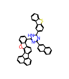 c1ccc2cc(C3=NC(c4ccc5sc6ccccc6c5c4)NC(c4cccc5oc6c7c(ccc6c45)-c4cccc5cccc-7c45)=N3)ccc2c1